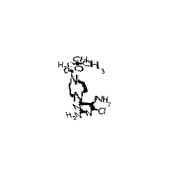 CC(C)(C)OC(=O)N1CCN(c2nc(N)nc(Cl)c2N)CC1